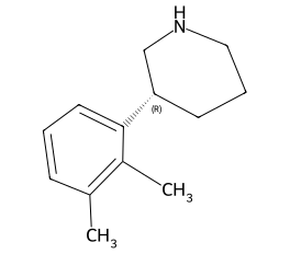 Cc1cccc([C@H]2CCCNC2)c1C